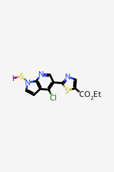 CCOC(=O)c1cnc(-c2cnc3c(ccn3SI)c2Cl)s1